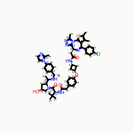 Cc1sc2c(c1C)C(c1ccc(Cl)cc1)=N[C@@H](CC(=O)N[C@H]1C[C@H](Oc3ccc(CC(=O)N[C@H](C(=O)N4C[C@H](O)CC4C(C)N[C@@H](C)c4ccc(-n5ccnc5C)cc4)C(C)(C)C)cc3)C1)c1nnc(C)n1-2